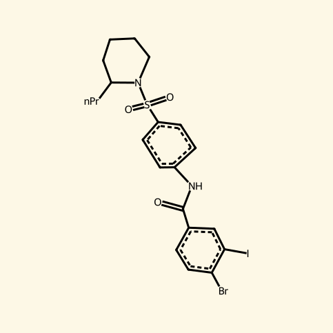 CCCC1CCCCN1S(=O)(=O)c1ccc(NC(=O)c2ccc(Br)c(I)c2)cc1